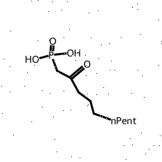 CCCCCCCCC(=O)CP(=O)(O)O